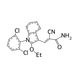 CCOc1c(/C=C(\C#N)C(N)=O)c2ccccc2n1-c1c(Cl)cccc1Cl